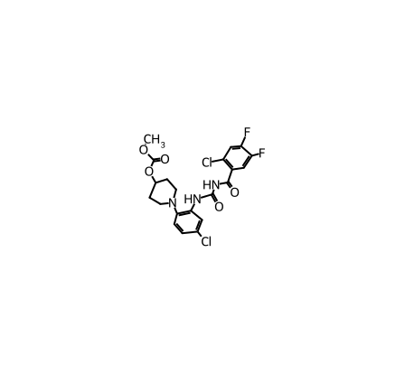 COC(=O)OC1CCN(c2ccc(Cl)cc2NC(=O)NC(=O)c2cc(F)c(F)cc2Cl)CC1